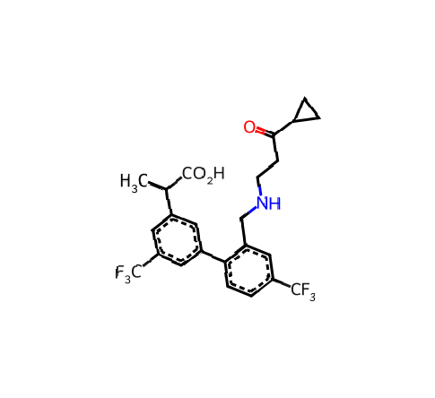 CC(C(=O)O)c1cc(-c2ccc(C(F)(F)F)cc2CNCCC(=O)C2CC2)cc(C(F)(F)F)c1